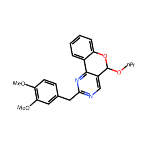 CCCOC1Oc2ccccc2-c2nc(Cc3ccc(OC)c(OC)c3)ncc21